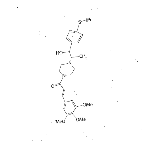 COc1cc(C=CC(=O)N2CCN(C(C)C(O)c3ccc(SC(C)C)cc3)CC2)cc(OC)c1OC